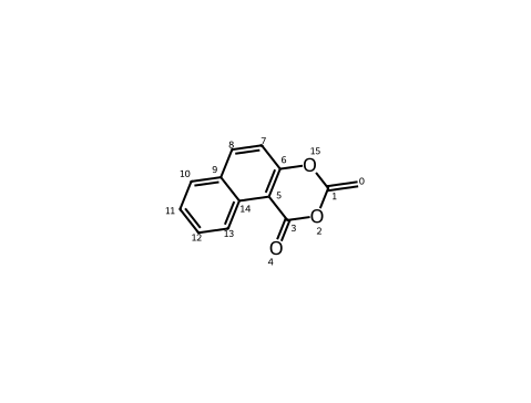 C=C1OC(=O)c2c(ccc3ccccc23)O1